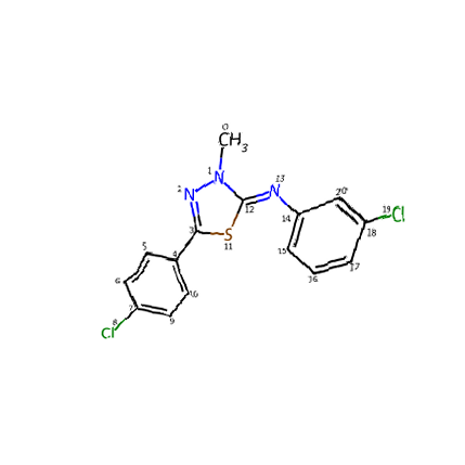 Cn1nc(-c2ccc(Cl)cc2)sc1=Nc1cccc(Cl)c1